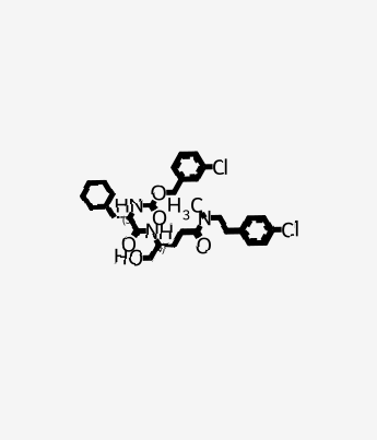 CN(CCc1ccc(Cl)cc1)C(=O)CC[C@@H](CO)NC(=O)[C@H](CC1CCCCC1)NC(=O)OCc1cccc(Cl)c1